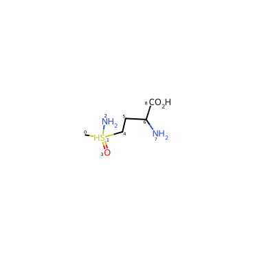 C[SH](N)(=O)CCC(N)C(=O)O